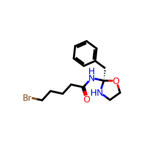 O=C(CCCCBr)N[C@]1(Cc2ccccc2)NCCO1